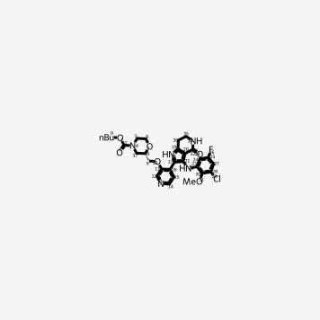 CCCCOC(=O)N1CCO[C@H](COc2cnccc2-c2[nH]c3c(c2Nc2cc(F)cc(Cl)c2OC)C(=O)NCC3)C1